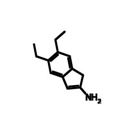 CCc1cc2c(cc1CC)CC(N)=C2